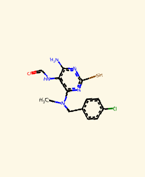 CN(Cc1ccc(Cl)cc1)c1nc(S)nc(N)c1NC=O